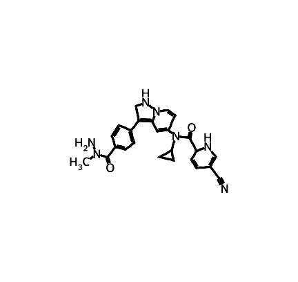 CN(N)C(=O)c1ccc(C2=C3C=C(N(C(=O)C4C=CC(C#N)=CN4)C4CC4)C=CN3NC2)cc1